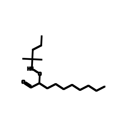 CCCCCCCCC(C=O)ONC(C)(C)CCC